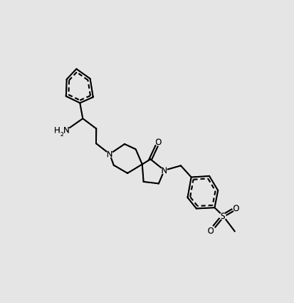 CS(=O)(=O)c1ccc(CN2CCC3(CCN(CCC(N)c4ccccc4)CC3)C2=O)cc1